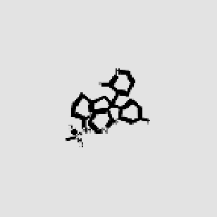 CS(=O)(=O)Nc1cccc(CC(c2ccc(F)cc2)(c2cccnc2F)c2cccnc2F)n1